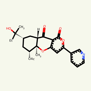 CCC(C)(O)[C@@H]1C[C@@H]2C(=O)c3c(cc(-c4cccnc4)oc3=O)O[C@@]2(C)[C@H](OC(C)=O)C1